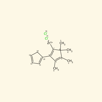 CC1=C(C)C(C)(C)[C]([Zr+2])=C1C1=CC=CC1.[Cl-].[Cl-]